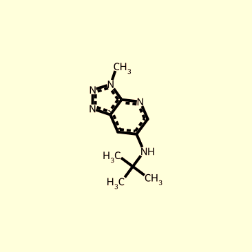 Cn1nnc2cc(NC(C)(C)C)cnc21